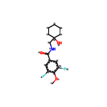 COc1c(F)cc(C(=O)NCC2(O)CCCCC2)cc1F